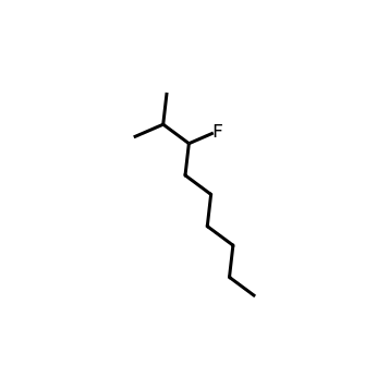 CCCCCCC(F)C(C)C